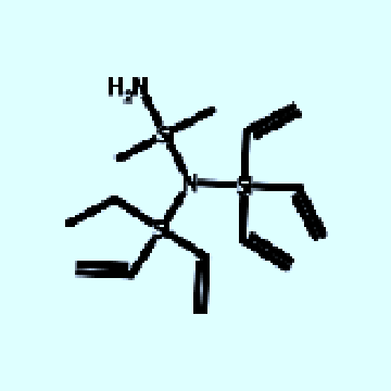 C=C[Si](C=C)(C=C)N([Si](C)(C)N)[Si](C=C)(C=C)CC